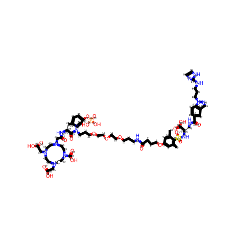 Cc1cc(OCCCC(=O)NCCCOCCOCCOCCCNC(=O)[C@@H](Cc2ccc(OP(=O)(O)O)cc2)NC(=O)CN2CCN(CC(=O)O)CCN(CC(=O)O)CCN(C(=O)O)CC2)cc(C)c1S(=O)(=O)N[C@@H](CNC(=O)c1ccc2c(cnn2CCCNc2ncc[nH]2)c1)C(=O)O